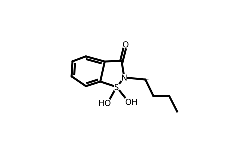 CCC[CH]N1C(=O)c2ccccc2S1(O)O